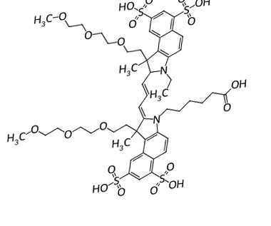 CCN1c2ccc3c(S(=O)(=O)O)cc(S(=O)(=O)O)cc3c2C(C)(CCOCCOCCOC)C1C=CC=C1N(CCCCCC(=O)O)c2ccc3c(S(=O)(=O)O)cc(S(=O)(=O)O)cc3c2C1(C)CCOCCOCCOC